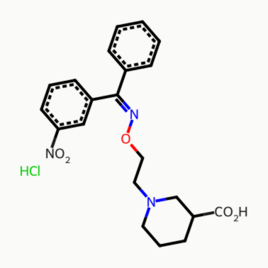 Cl.O=C(O)C1CCCN(CCON=C(c2ccccc2)c2cccc([N+](=O)[O-])c2)C1